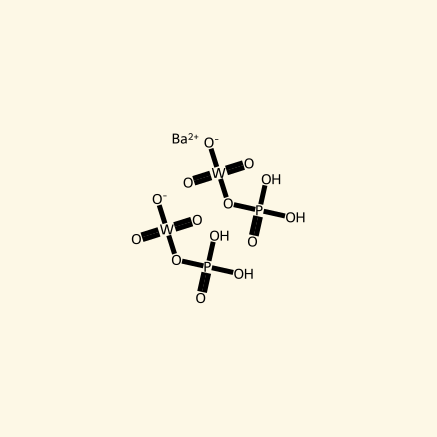 O=P(O)(O)[O][W](=[O])(=[O])[O-].O=P(O)(O)[O][W](=[O])(=[O])[O-].[Ba+2]